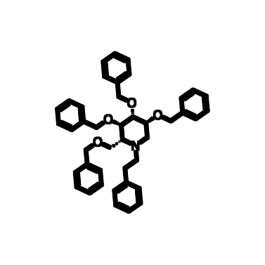 c1ccc(CCN2C[C@H](OCc3ccccc3)[C@@H](OCc3ccccc3)[C@H](OCc3ccccc3)[C@H]2COCc2ccccc2)cc1